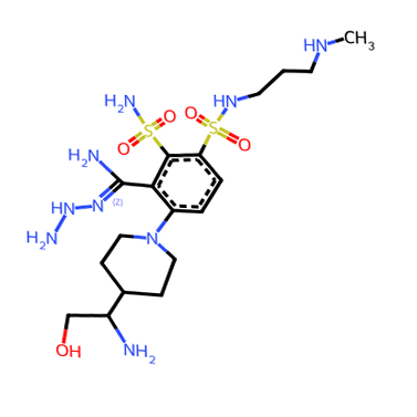 CNCCCNS(=O)(=O)c1ccc(N2CCC(C(N)CO)CC2)c(/C(N)=N/NN)c1S(N)(=O)=O